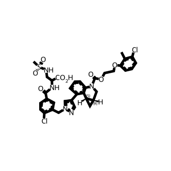 Cc1c(Cl)cccc1OCCOC(=O)N1C[C@@H]2C[C@@H]2c2c(-c3cnn(Cc4cc(C(=O)NC(CNS(C)(=O)=O)C(=O)O)ccc4Cl)c3)cccc21